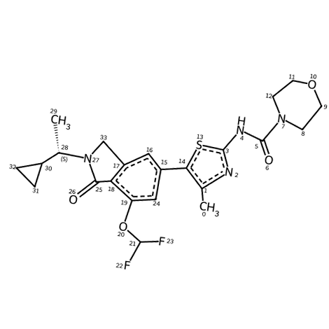 Cc1nc(NC(=O)N2CCOCC2)sc1-c1cc2c(c(OC(F)F)c1)C(=O)N([C@@H](C)C1CC1)C2